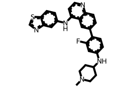 CN1CCC(Nc2ccc(-c3ccc4nccc(Nc5ccc6scnc6c5)c4c3)c(F)c2)CC1